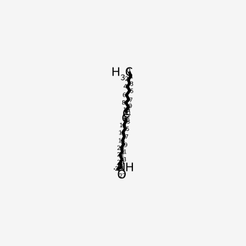 CCCCCCCCCCCCCCCCCCCCCCCCCN[C]=O